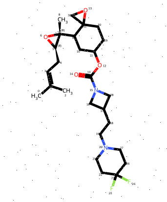 CC(C)=CC[C@H]1O[C@]1(C)C1CC(OC(=O)N2CC(CCN3CCC(F)(F)CC3)C2)CCC12CO2